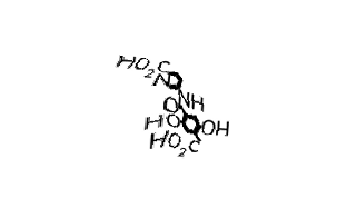 O=C(O)Cc1cc(O)c(C(=O)Nc2ccc(C(=O)O)nc2)cc1O